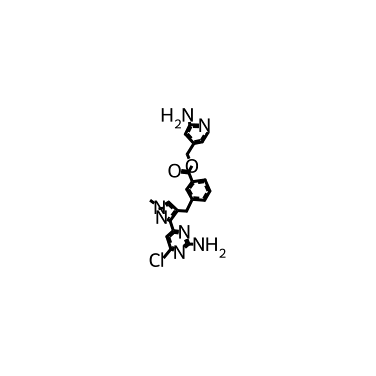 Cn1cc(Cc2cccc(C(=O)OCc3ccnc(N)c3)c2)c(-c2cc(Cl)nc(N)n2)n1